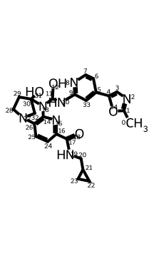 Cc1ncc(-c2ccnc(NC(O)N3c4nc(C(=O)NCC5CC5)ccc4N4CCC3(O)C4)c2)o1